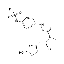 CCCS(=O)(=O)Nc1ccc(NCC(=O)N(C)[C@H](CN2CCC(O)C2)C(C)C)cc1